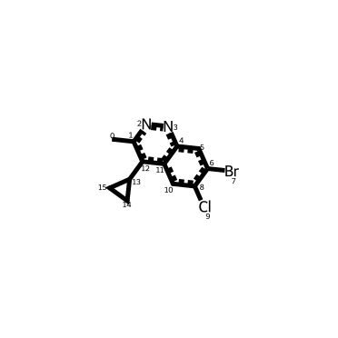 Cc1nnc2cc(Br)c(Cl)cc2c1C1CC1